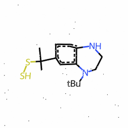 CC(C)(SS)c1ccc2c(c1)N(C(C)(C)C)CCN2